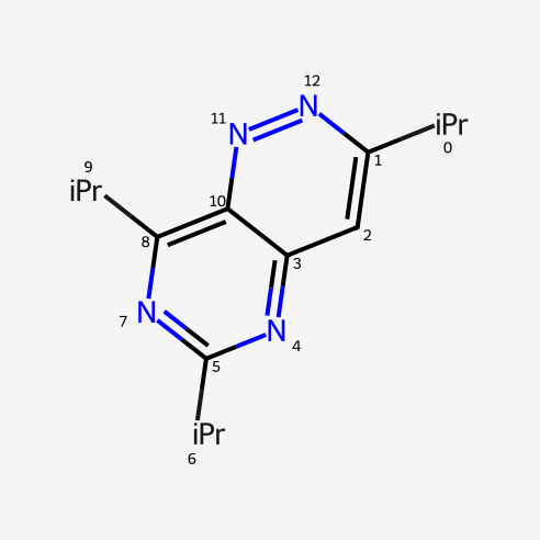 CC(C)c1cc2nc(C(C)C)nc(C(C)C)c2nn1